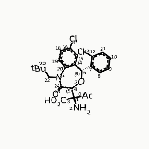 CC(=O)C(N)(C(=O)O)[C@@H]1O[C@@H](c2ccccc2Cl)c2cc(Cl)ccc2N(CC(C)(C)C)C1=O